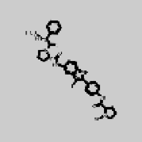 CC(=O)N1CCCC1C(=O)Nc1ccc(-c2[nH]c3ccc(NC(=O)[C@@H]4CCCN4C(=O)[C@H](NC(=O)O)c4ccccc4)cc3c2F)cc1